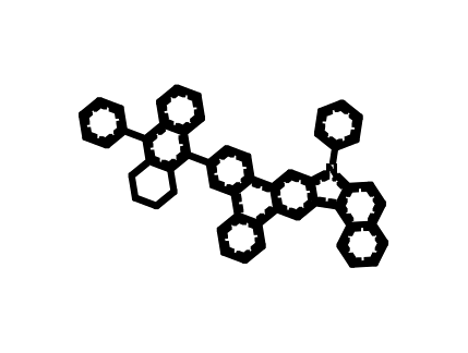 c1ccc(-c2c3c(c(-c4ccc5c(c4)c4ccccc4c4cc6c7c8ccccc8ccc7n(-c7ccccc7)c6cc54)c4ccccc24)CCCC3)cc1